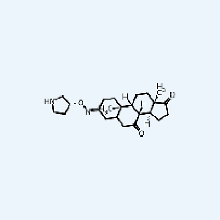 C[C@]12CCC(=NO[C@@H]3CCNC3)CC1CC(=O)[C@@H]1[C@H]2CC[C@]2(C)C(=O)CC[C@@H]12